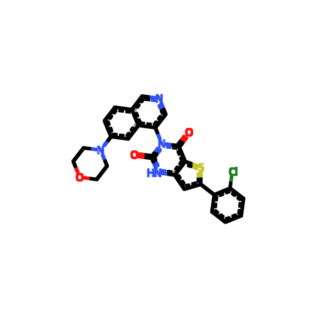 O=c1[nH]c2cc(-c3ccccc3Cl)sc2c(=O)n1-c1cncc2ccc(N3CCOCC3)cc12